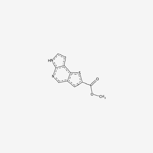 COC(=O)c1cc2cnc3[nH]ccc3c2s1